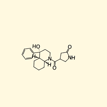 O=C1CC(C(=O)N2CC[C@](O)(c3ccccc3)[C@H]3CCCC[C@H]32)CN1